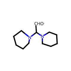 O=[C]C(N1CCCCC1)N1CCCCC1